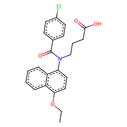 CCOc1ccc(N(CCCC(=O)O)C(=O)c2ccc(Cl)cc2)c2ccccc12